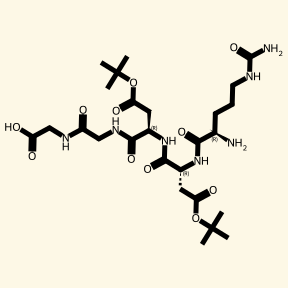 CC(C)(C)OC(=O)C[C@@H](NC(=O)[C@H](N)CCCNC(N)=O)C(=O)N[C@H](CC(=O)OC(C)(C)C)C(=O)NCC(=O)NCC(=O)O